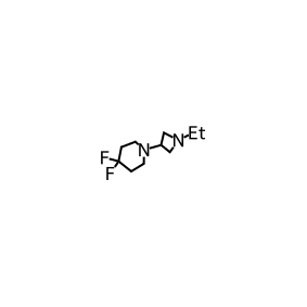 CCN1CC(N2CCC(F)(F)CC2)C1